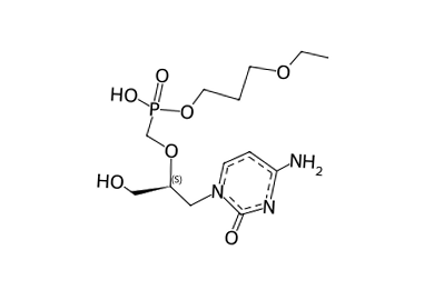 CCOCCCOP(=O)(O)CO[C@H](CO)Cn1ccc(N)nc1=O